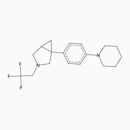 FC(F)(F)CN1CC2CC2(c2ccc(N3CCCCC3)cc2)C1